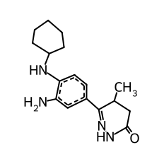 CC1CC(=O)NN=C1c1ccc(NC2CCCCC2)c(N)c1